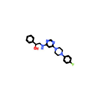 OC(CNc1cc(N2CCN(c3ccc(F)cc3)CC2)ncn1)c1ccccc1